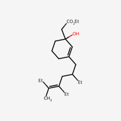 CCOC(=O)CC1(O)C=C(CC(CC)C/C(CC)=C(/C)CC)CCC1